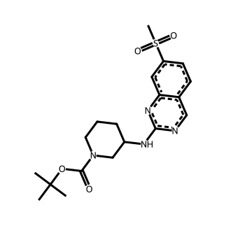 CC(C)(C)OC(=O)N1CCCC(Nc2ncc3ccc(S(C)(=O)=O)cc3n2)C1